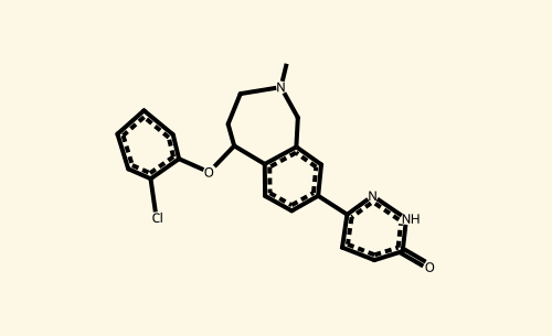 CN1CCC(Oc2ccccc2Cl)c2ccc(-c3ccc(=O)[nH]n3)cc2C1